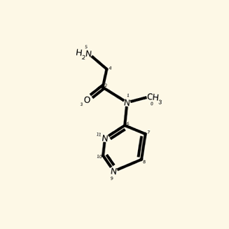 CN(C(=O)CN)c1ccncn1